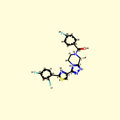 C[C@@H]1c2nnc(-c3csc(-c4ccc(F)cc4F)n3)n2CCN1C(=O)c1ccc(F)cc1